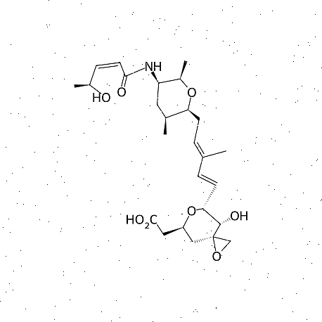 CC(/C=C/[C@H]1O[C@H](CC(=O)O)C[C@@]2(CO2)[C@H]1O)=C\C[C@@H]1O[C@H](C)[C@H](NC(=O)/C=C\[C@H](C)O)C[C@@H]1C